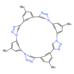 CC(C)(C)c1cc2cc(c1)-c1cn(nn1)-c1cc(cc(C(C)(C)C)c1)-n1cc(nn1)-c1cc(cc(C(C)(C)C)c1)-c1cn(nn1)-c1cc(cc(C(C)(C)C)c1)-n1cc-2nn1